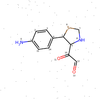 Nc1ccc(C2SCNC2C(=O)C=O)cc1